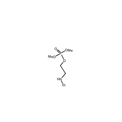 CCNCCOP(=O)(OC)OC